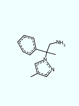 Cc1cnn(C(C)(CN)c2ccccc2)c1